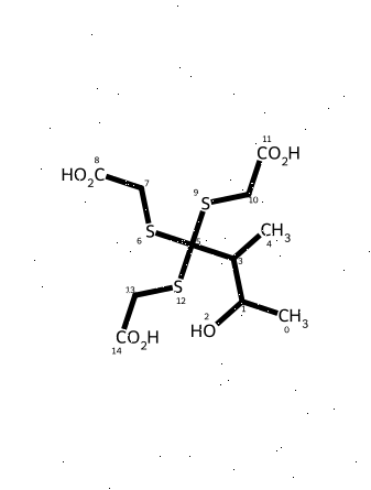 CC(O)C(C)C(SCC(=O)O)(SCC(=O)O)SCC(=O)O